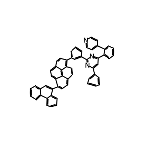 c1ccc(-c2cc(-c3ccccc3-c3ccncc3)nc(-c3cccc(-c4ccc5ccc6c(-c7cc8ccccc8c8ccccc78)ccc7ccc4c5c76)c3)n2)cc1